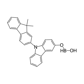 CC1(C)c2ccccc2-c2ccc(-n3c4ccccc4c4cc(OBO)ccc43)cc21